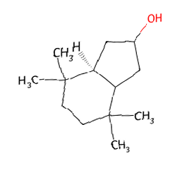 CC1(C)CCC(C)(C)[C@H]2CC(O)CC21